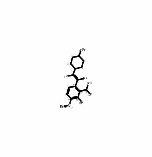 CCCC1CCC(/C(F)=C(\F)c2ccc(OCC)c(F)c2C(F)F)CC1